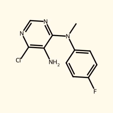 CN(c1ccc(F)cc1)c1ncnc(Cl)c1N